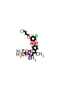 CC1c2ccc(S(=O)(=O)c3cc(F)cc(OCCCCl)c3)cc2OC1CN(C)C(=O)OC(C)(C)C